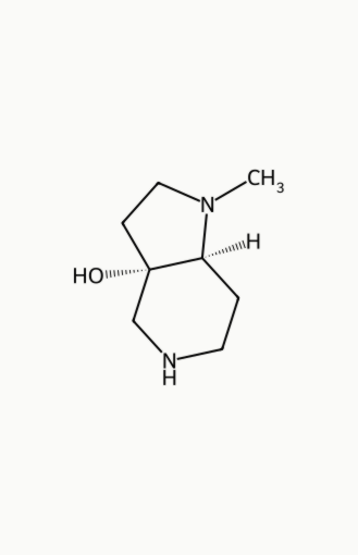 CN1CC[C@]2(O)CNCC[C@H]12